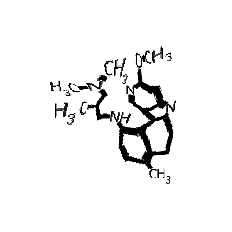 COc1cc2c(cn1)=C1C(=CCc3c(C)ccc(NC[C@@H](C)CN(C)C)c31)N=2